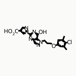 Cc1cc(OCCCn2ncc3nc(-n4cc(C(=O)O)cn4)nc(O)c32)cc(C)c1Cl